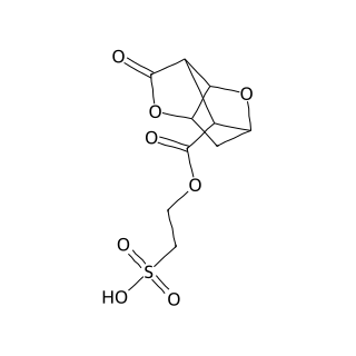 O=C(OCCS(=O)(=O)O)C1C2CC3OC(=O)C1C3O2